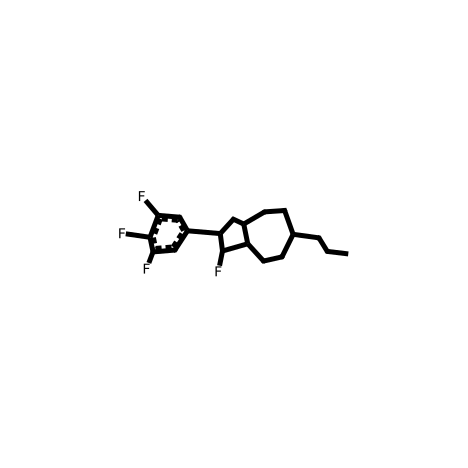 CCCC1CCC2CC(c3cc(F)c(F)c(F)c3)C(F)C2CC1